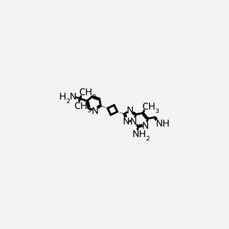 Cc1c(C=N)nc(N)n2nc([C@H]3C[C@@H](c4ccc(C(C)(C)N)cn4)C3)nc12